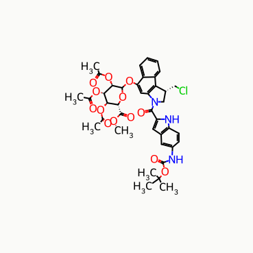 COC(=O)[C@H]1OC(Oc2cc3c(c4ccccc24)[C@H](CCl)CN3C(=O)c2cc3cc(NC(=O)OC(C)(C)C)ccc3[nH]2)[C@H](OC(C)=O)[C@@H](OC(C)=O)[C@@H]1OC(C)=O